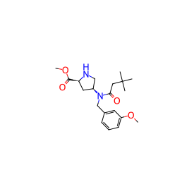 COC(=O)[C@@H]1C[C@H](N(Cc2cccc(OC)c2)C(=O)CC(C)(C)C)CN1